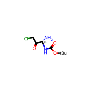 CC(C)(C)OC(=O)N[C@@H](N)C(=O)CCl